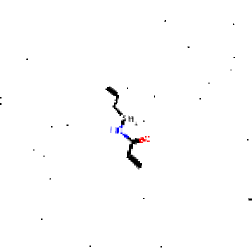 C=CC[SiH2]NC(=O)C=C